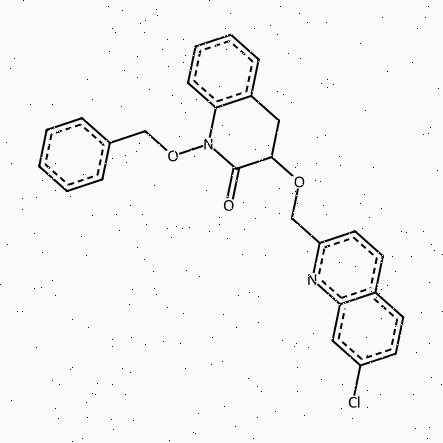 O=C1C(OCc2ccc3ccc(Cl)cc3n2)Cc2ccccc2N1OCc1ccccc1